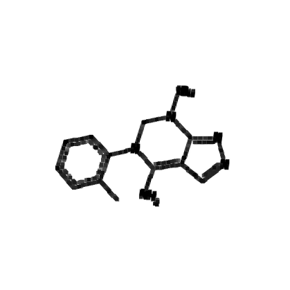 Cc1ccccc1N1CN(C(C)(C)C)C2=NN=CC2=C1N